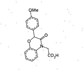 COc1ccc(C2Oc3ccccc3N(CC(=O)O)C2=O)cc1